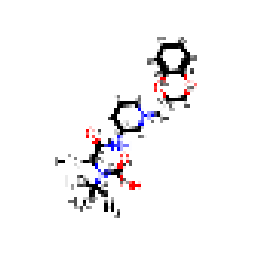 C[C@@H](C(=O)N[C@H]1CCCN(C[C@H]2COc3ccccc3O2)C1)N(C(=O)O)C(C)(C)C